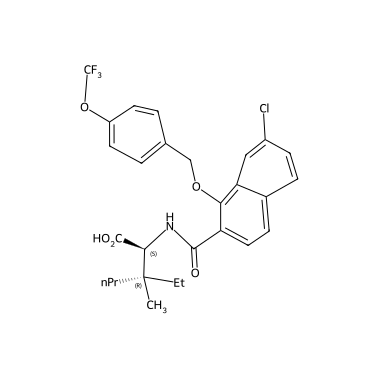 CCC[C@@](C)(CC)[C@H](NC(=O)c1ccc2ccc(Cl)cc2c1OCc1ccc(OC(F)(F)F)cc1)C(=O)O